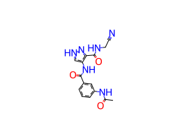 CC(=O)Nc1cccc(C(=O)Nc2c[nH]nc2C(=O)NCC#N)c1